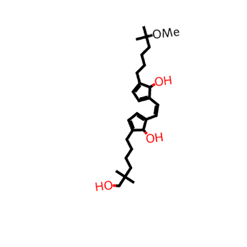 COC(C)(C)CCCCC1=CC=C(/C=C\C2=CC=C(CCCCC(C)(C)CO)C2O)C1O